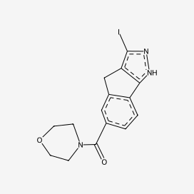 O=C(c1ccc2c(c1)Cc1c(I)n[nH]c1-2)N1CCOCC1